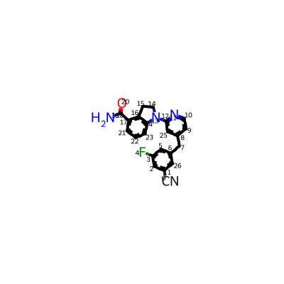 N#Cc1cc(F)cc(Cc2ccnc(N3CCc4c(C(N)=O)cccc43)c2)c1